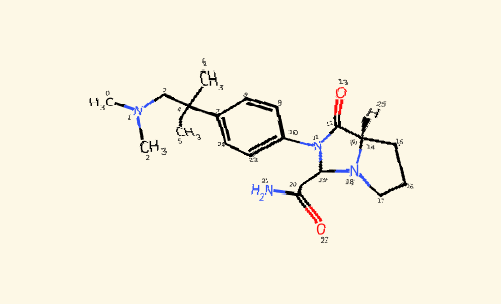 CN(C)CC(C)(C)c1ccc(N2C(=O)[C@@H]3[CH]CCN3C2C(N)=O)cc1